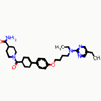 CCc1cnc(N(CC)CCCCOc2ccc(C3=CCC(C(=O)N4CCC(C(N)=O)CC4)CC3)cc2)nc1